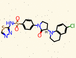 O=C1[C@H](N2CCCc3cc(Cl)ccc32)CCN1c1ccc(S(=O)(=O)Nc2nncs2)cc1